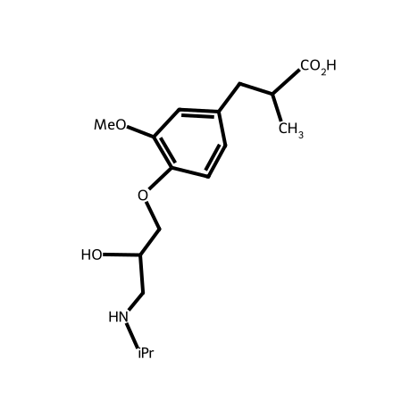 COc1cc(CC(C)C(=O)O)ccc1OCC(O)CNC(C)C